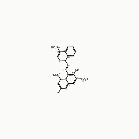 Cc1cc(S(=O)(=O)O)c2c(/N=N/c3ccc(S(=O)(=O)O)c4ccccc34)c(O)c(S(=O)(=O)O)cc2c1